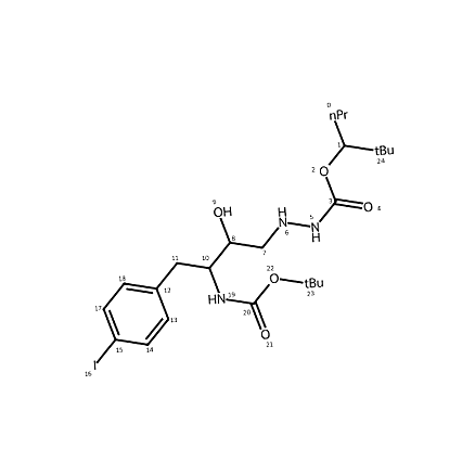 CCCC(OC(=O)NNCC(O)C(Cc1ccc(I)cc1)NC(=O)OC(C)(C)C)C(C)(C)C